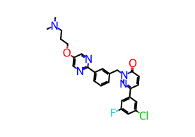 CN(C)CCCOc1cnc(-c2cccc(Cn3nc(-c4cc(F)cc(Cl)c4)ccc3=O)c2)nc1